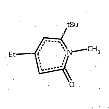 CCc1cc(C(C)(C)C)n(C)c(=O)c1